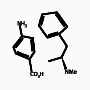 CN[C@@H](C)Cc1ccccc1.Nc1ccc(C(=O)O)cc1